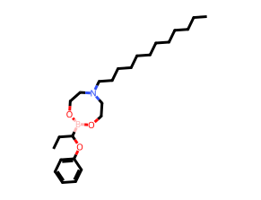 CCCCCCCCCCCCN1CCOB(C(CC)Oc2ccccc2)OCC1